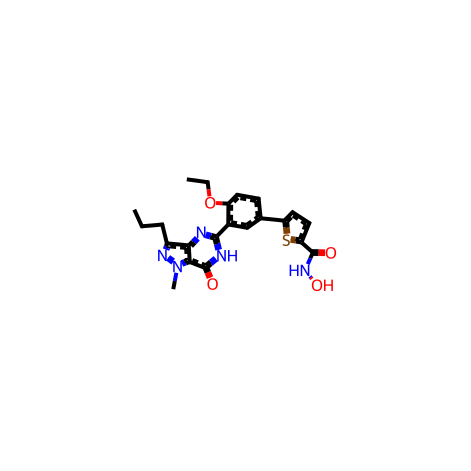 CCCc1nn(C)c2c(=O)[nH]c(-c3cc(-c4ccc(C(=O)NO)s4)ccc3OCC)nc12